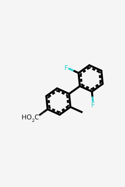 Cc1cc(C(=O)O)ccc1-c1c(F)cccc1F